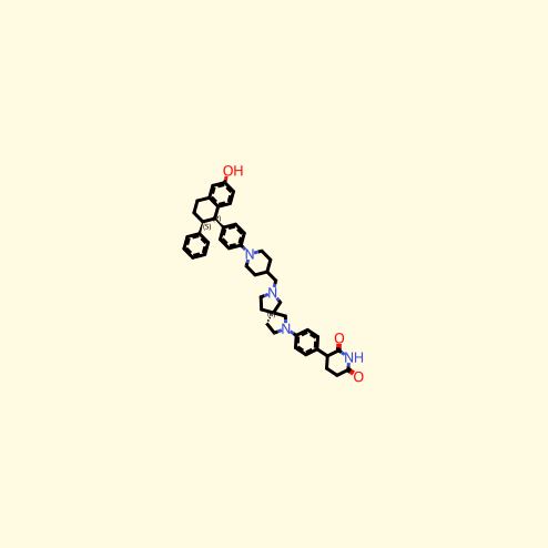 O=C1CCC(c2ccc(N3CC[C@@]4(CCN(CC5CCN(c6ccc([C@@H]7c8ccc(O)cc8CC[C@@H]7c7ccccc7)cc6)CC5)C4)C3)cc2)C(=O)N1